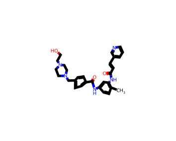 Cc1ccc(NC(=O)c2ccc(CN3CCN(CCO)CC3)cc2)cc1NC(=O)C=Cc1cccnc1